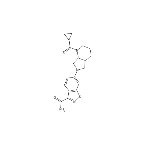 NC(=O)c1nsc2cc(N3CC4CCCN(C(=O)C5CC5)C4C3)ccc12